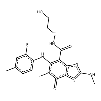 CNc1nc2c(C(=O)NOCCO)c(Nc3ccc(C)cc3F)n(C)c(=O)c2s1